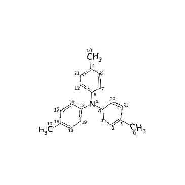 CC1=CCC(N(c2ccc(C)cc2)c2ccc(C)cc2)C=C1